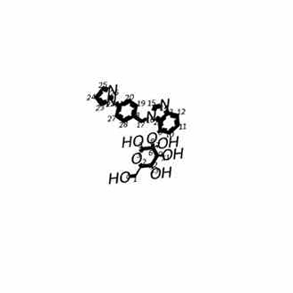 OC[C@H]1O[C@H](O)[C@@](O)(Oc2cccc3ncn(Cc4ccc(-n5cccn5)cc4)c23)[C@@H](O)[C@@H]1O